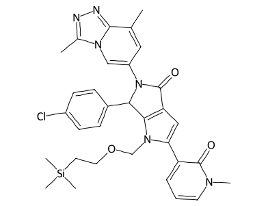 Cc1cc(N2C(=O)c3cc(-c4cccn(C)c4=O)n(COCC[Si](C)(C)C)c3C2c2ccc(Cl)cc2)cn2c(C)nnc12